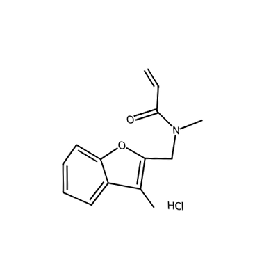 C=CC(=O)N(C)Cc1oc2ccccc2c1C.Cl